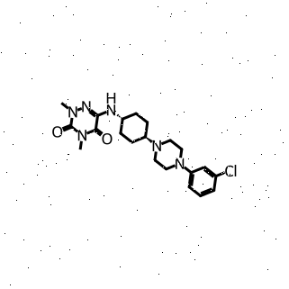 Cn1nc(N[C@H]2CC[C@H](N3CCN(c4cccc(Cl)c4)CC3)CC2)c(=O)n(C)c1=O